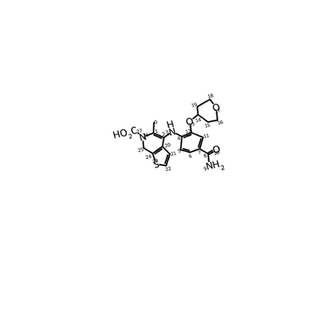 CC1=C(Nc2ccc(C(N)=O)cc2OC2CCOCC2)c2ccsc2CN1C(=O)O